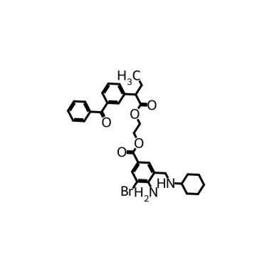 CCC(C(=O)OCCOC(=O)c1cc(Br)c(N)c(CNC2CCCCC2)c1)c1cccc(C(=O)c2ccccc2)c1